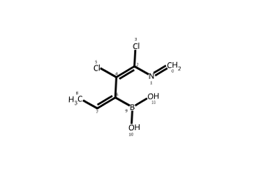 C=N/C(Cl)=C(Cl)\C(=C/C)B(O)O